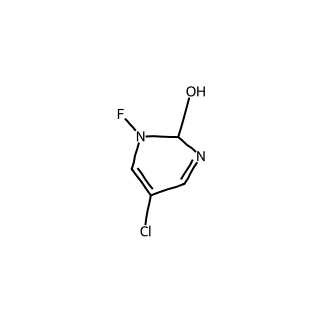 OC1N=CC(Cl)=CN1F